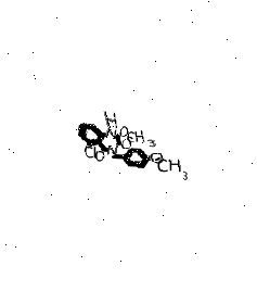 COc1ccc(CN2CC(=O)Nc3cccc(Cl)c3C2=O)c(OC)c1